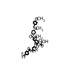 COc1ccc(CN(C)C2CCN(C(=O)c3cc4cc(Oc5ccc(NC(=O)c6ccc(C(F)(F)F)cc6)cn5)ccc4n3C)CC2)cc1.O=C(O)C(=O)O